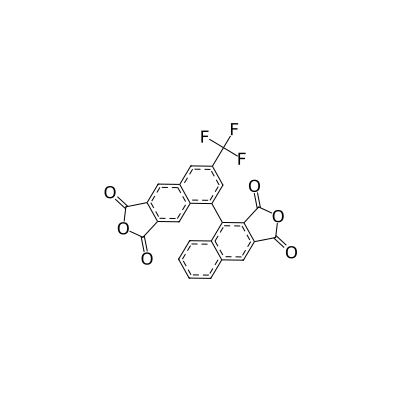 O=C1OC(=O)c2cc3c(-c4c5c(cc6ccccc46)C(=O)OC5=O)cc(C(F)(F)F)cc3cc21